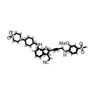 COc1cc(S(C)(=O)=O)ccc1NCC#Cc1sc2c(NC3CCC(N4CCS(=O)(=O)CC4)CC3)cccc2c1CC#N